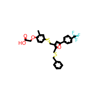 Cc1cc(SCc2cc(-c3ccc(C(F)(F)F)cc3)oc2CSCc2ccccc2)ccc1OCC(=O)O